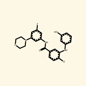 O=C(Nc1cc(F)cc(N2CCOCC2)c1)c1ccc(Cl)c(Nc2cccc(O)c2)c1